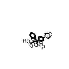 CC(C)(C(=O)O)C(C)(c1ccccc1)c1ccc(N2CCOCC2)cc1